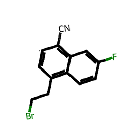 N#Cc1[c]cc(CCBr)c2ccc(F)cc12